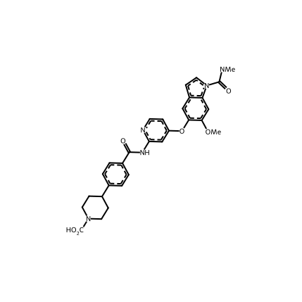 CNC(=O)n1ccc2cc(Oc3ccnc(NC(=O)c4ccc(C5CCN(C(=O)O)CC5)cc4)c3)c(OC)cc21